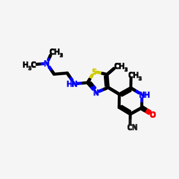 Cc1[nH]c(=O)c(C#N)cc1-c1nc(NCCN(C)C)sc1C